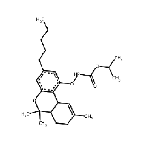 CCCCCc1cc(OPC(=O)OC(C)C)c2c(c1)OC(C)(C)C1CCC(C)=CC21